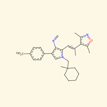 C=Nc1c(-c2ccc(C(=O)O)cc2)cn(CC2(C)CCCCC2)c1/C=C(\C)c1c(C)noc1C